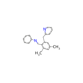 Cc1cc(C)c(C=Nc2ccccc2)c(Cc2ccccn2)c1